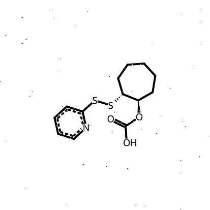 O=C(O)O[C@@H]1CCCCC[C@H]1SSc1ccccn1